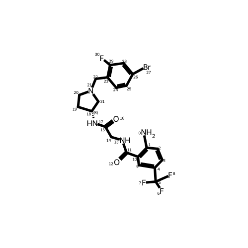 Nc1ccc(C(F)(F)F)cc1C(=O)NCC(=O)N[C@@H]1CCN(Cc2ccc(Br)cc2F)C1